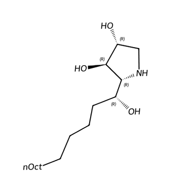 CCCCCCCCCCCC[C@@H](O)[C@H]1NC[C@@H](O)[C@@H]1O